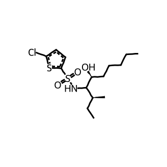 CCCCC[C@H](O)C(NS(=O)(=O)c1ccc(Cl)s1)[C@@H](C)CC